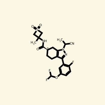 CC(C#N)n1nc(-c2cc(OC(F)F)ccc2F)c2c1C[C@H](C(=O)NC1(C)CS(=O)(=O)C1)CC2